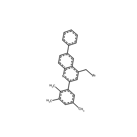 Cc1cc(C)c(C)c(-c2cc(CC(C)C)c3cc(-c4ccccc4)ccc3n2)c1